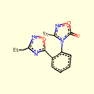 CCc1noc(-c2ccccc2-n2c(CC)noc2=O)n1